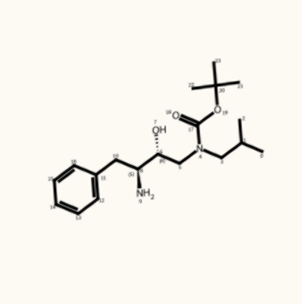 CC(C)CN(C[C@@H](O)[C@@H](N)Cc1ccccc1)C(=O)OC(C)(C)C